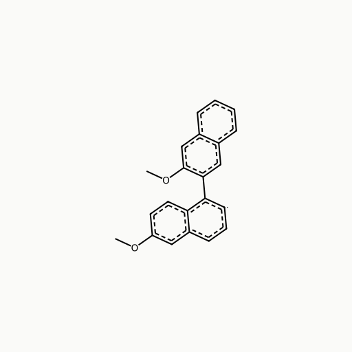 COc1ccc2c(-c3cc4ccccc4cc3OC)[c]ccc2c1